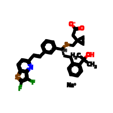 CC(C)(O)c1ccccc1CC[C@@H](SCC1(CC(=O)[O-])CC1)c1cccc(C=Cc2ccc3sc(F)c(F)c3n2)c1.[Na+]